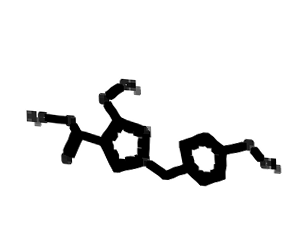 COC(=O)c1cn(Cc2ccc(OC)cc2)nc1OC